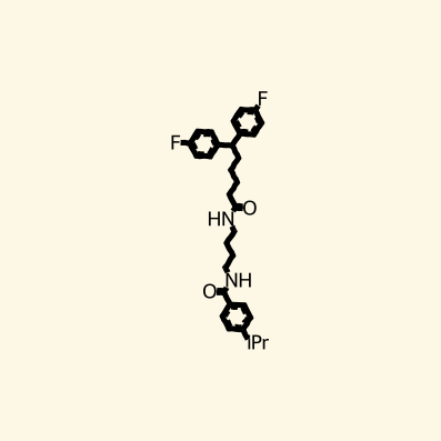 CC(C)c1ccc(C(=O)NCCCCNC(=O)CCCCC(c2ccc(F)cc2)c2ccc(F)cc2)cc1